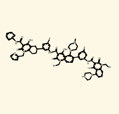 CC(C)Cn1c(=O)c(C(=O)Nc2cc(F)cc(-c3ccc4c(c(O)c(C(=O)Nc5cc(F)cc(C6CCc7c(c(O)c(C(=O)Nc8ccccc8)c(=O)n7Cc7ccco7)C6)c5)c(=O)n4CC(C)C)c3N3CCN(C)CC3)c2)c(O)c2c(N3CCNCC3)cccc21